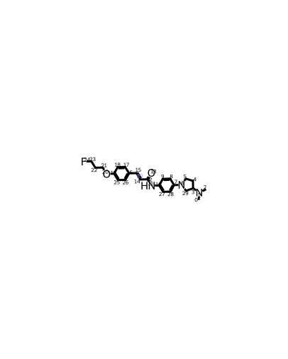 CN(C)C1CCN(c2ccc(NC(=O)/C=C/c3ccc(OCCCF)cc3)cc2)C1